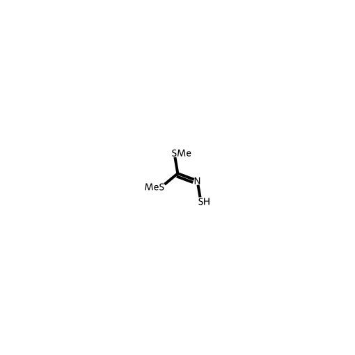 CSC(=NS)SC